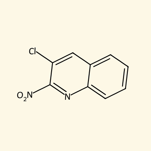 O=[N+]([O-])c1nc2ccccc2cc1Cl